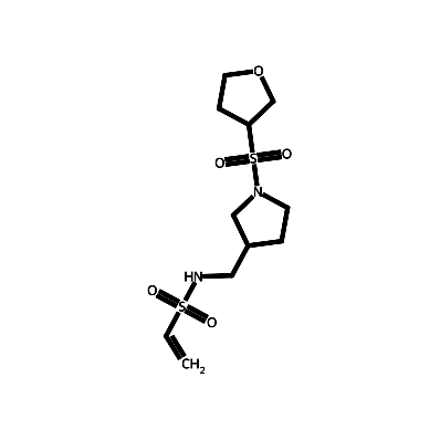 C=CS(=O)(=O)NCC1CCN(S(=O)(=O)C2CCOC2)C1